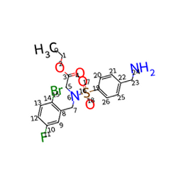 CCOC(=O)CN(Cc1cc(F)ccc1Br)S(=O)(=O)c1ccc(CN)cc1